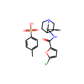 Cc1ccc(S(=O)(=O)O)cc1.O=C(N[C@H]1CN2CCC1CC2)c1ccc(Br)o1